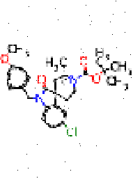 COc1ccc(CN2C(=O)C3(CCN(C(=O)OC(C)(C)C)[C@@H](C)C3)c3cc(Cl)ccc32)cc1